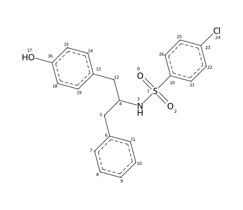 O=S(=O)(NC(Cc1ccccc1)Cc1ccc(O)cc1)c1ccc(Cl)cc1